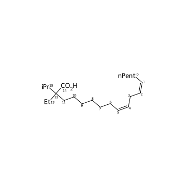 CCCCC/C=C\C/C=C\CCCCCCC(CC)(C(=O)O)C(C)C